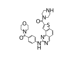 O=C(c1ccc(Nc2ncc3ccc4sc(C(=O)N5CCNCC5)cc4c3n2)cc1)N1CCOCC1